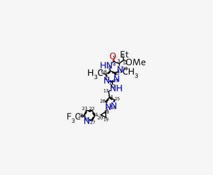 CCC(OC)C1C(=O)Nc2c(C)nc(NCc3cnn([C@H]4C[C@@H]4c4ccc(C(F)(F)F)nc4)c3)nc2N1C